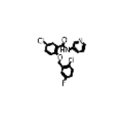 O=C(Nc1cccnc1)c1cc(Cl)ccc1OCc1cc(F)ccc1Cl